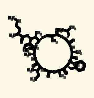 C/C=C(\C)[C@@H](OC(=O)N(C)CCNC)[C@@H](C)[C@@H]1C/C=C(\C)C(=O)O[C@H](CC(C)C)C(=O)N[C@@H](C)C(=O)N(C)[C@H](Cc2ccccc2)C(=O)N(C)CC(=O)N[C@@H]([C@H](C)CC)C(=O)N[C@H](C)C(=O)C1